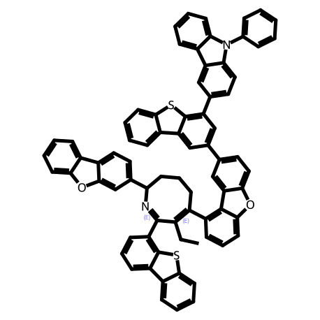 CCC1=C(\c2cccc3oc4ccc(-c5cc(-c6ccc7c(c6)c6ccccc6n7-c6ccccc6)c6sc7ccccc7c6c5)cc4c23)CCCC(c2ccc3c(c2)oc2ccccc23)/N=C\1c1cccc2c1sc1ccccc12